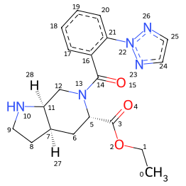 CCOC(=O)[C@@H]1C[C@H]2CCN[C@H]2CN1C(=O)c1ccccc1-n1nccn1